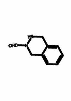 O=[C]N1Cc2ccccc2CN1